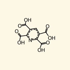 O=C(O)c1cc(C(=O)O)c(C(=O)O)nc1C(=O)O